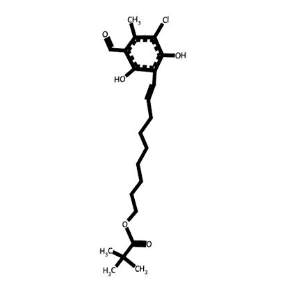 Cc1c(Cl)c(O)c(/C=C/CCCCCCCOC(=O)C(C)(C)C)c(O)c1C=O